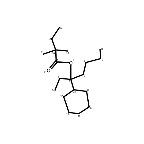 CCCCC(CC)(OC(=O)C(C)(C)CC)C1CCCCC1